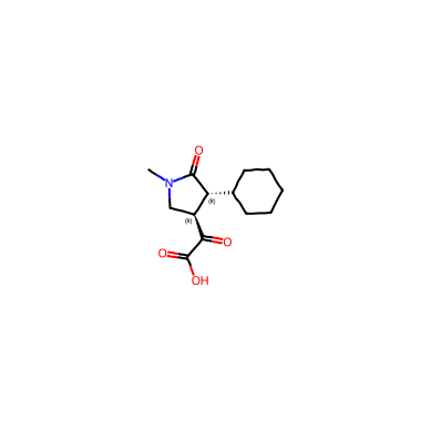 CN1C[C@H](C(=O)C(=O)O)[C@@H](C2CCCCC2)C1=O